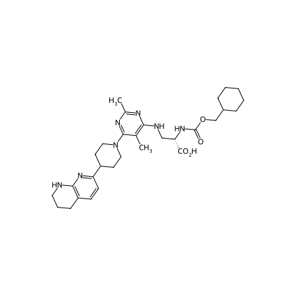 Cc1nc(NC[C@H](NC(=O)OCC2CCCCC2)C(=O)O)c(C)c(N2CCC(c3ccc4c(n3)NCCC4)CC2)n1